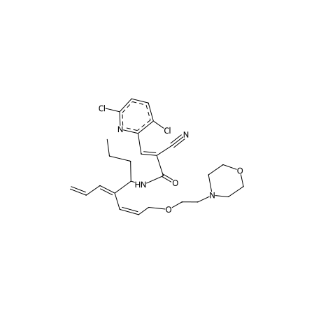 C=C/C=C(\C=C/COCCN1CCOCC1)C(CCC)NC(=O)/C(C#N)=C/c1nc(Cl)ccc1Cl